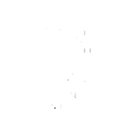 CC(C)C(NC(=O)c1cc2ccccc2[nH]1)C(=O)N[C@@H](CC1CCC1)C(=O)N[C@H](C=O)C[C@@H]1CCNC1=O